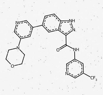 O=C(Nc1cncc(C(F)(F)F)c1)c1n[nH]c2ccc(-c3cncc(N4CCOCC4)c3)cc12